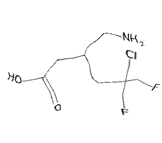 NCC(CC(=O)O)CC(F)(F)Cl